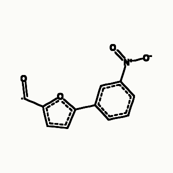 O=[C]c1ccc(-c2cccc([N+](=O)[O-])c2)o1